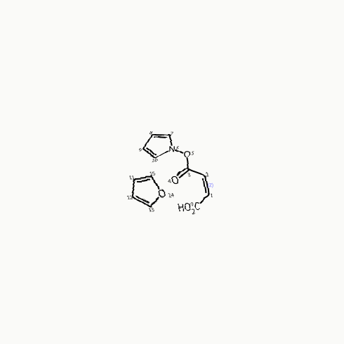 O=C(O)/C=C\C(=O)On1cccc1.c1ccoc1